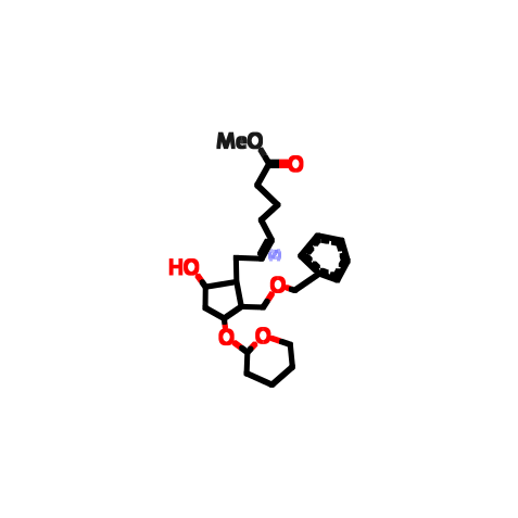 COC(=O)CCC/C=C\CC1C(O)CC(OC2CCCCO2)C1COCc1ccccc1